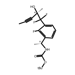 CC#C[C@@](C)(O)C(F)(F)c1cccc([C@@H](C)NC(=O)OC(C)(C)C)c1F